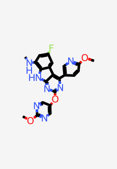 CNc1cc(F)cc2c1[nH]c1nc(Oc3cnc(OC)nc3)nc(-c3ccc(OC)nc3)c12